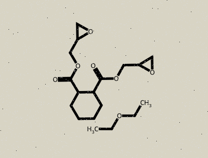 CCOCC.O=C(OCC1CO1)C1CCCCC1C(=O)OCC1CO1